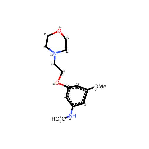 COc1cc(NC(=O)O)cc(OCCN2CCOCC2)c1